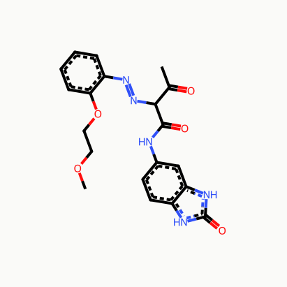 COCCOc1ccccc1/N=N/C(C(C)=O)C(=O)Nc1ccc2[nH]c(=O)[nH]c2c1